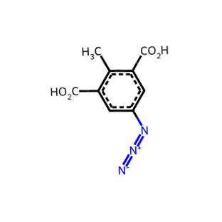 Cc1c(C(=O)O)cc(N=[N+]=[N-])cc1C(=O)O